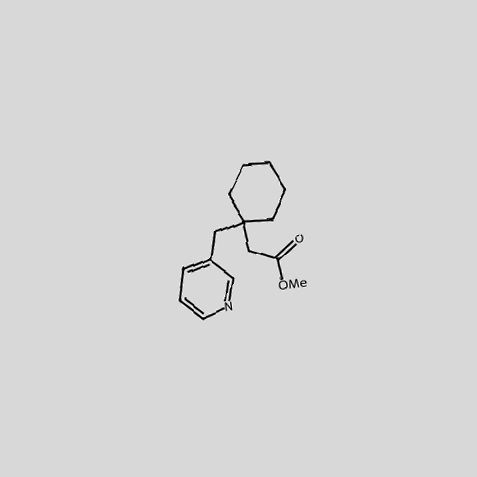 COC(=O)CC1(Cc2cccnc2)CCCCC1